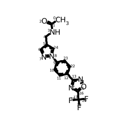 CC(=O)NCc1cnn(-c2ccc(-c3noc(C(F)(F)F)n3)cc2)c1